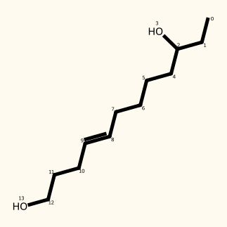 CCC(O)CCCCC=CCCCO